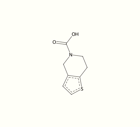 O=C(O)N1CCc2sccc2C1